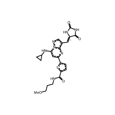 COCCCNC(=O)c1ccc(-c2cc(NC3CC3)n3ncc(/C=C4\NC(=O)NC4=O)c3n2)s1